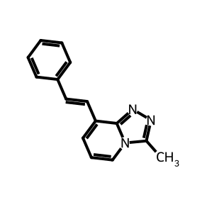 Cc1nnc2c(C=Cc3ccccc3)cccn12